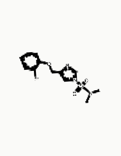 CN(C)S(=O)(=O)n1cnc(COc2ccccc2Br)c1